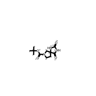 CC(C)(C)OC(=O)N1CCC2(C1)NC(=O)NC2=O